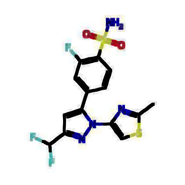 Cc1nc(-n2nc(C(F)F)cc2-c2ccc(S(N)(=O)=O)c(F)c2)cs1